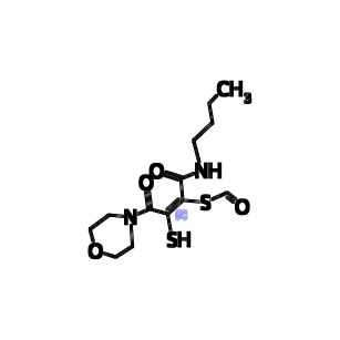 CCCCNC(=O)/C(SC=O)=C(/S)C(=O)N1CCOCC1